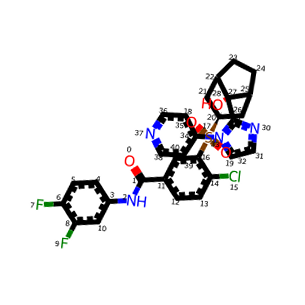 O=C(Nc1ccc(F)c(F)c1)c1ccc(Cl)c(S(=O)(=O)[C@H]2CC3CCC(C2)[C@]3(O)c2nccn2-c2ccncc2)c1